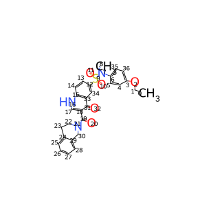 CCOc1ccc(N(C)S(=O)(=O)c2ccc3[nH]cc(C(=O)N4CCc5ccccc5C4)c(=O)c3c2)cc1